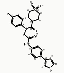 Cc1ccc(N(CC(=O)Nc2ccc(-c3ncon3)cc2)C(=O)C2CCS(=O)(=O)CC2)cc1